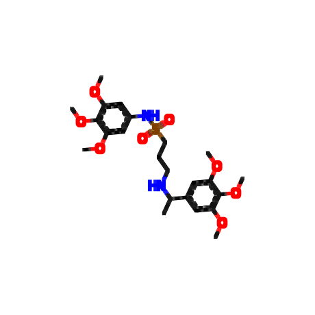 COc1cc(NS(=O)(=O)CCCNC(C)c2cc(OC)c(OC)c(OC)c2)cc(OC)c1OC